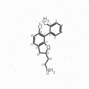 Cc1ccccc1-c1c(Cl)ccc2c1OC(CCN)C2